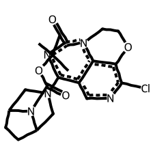 CC(C)(C)OC(=O)N1C2CCC1CN(c1nc(=O)n3c4c(c(Cl)ncc14)OCC3)C2